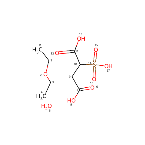 CCOCC.O.O=C(O)CC(C(=O)O)S(=O)(=O)O